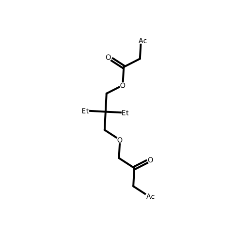 CCC(CC)(COCC(=O)CC(C)=O)COC(=O)CC(C)=O